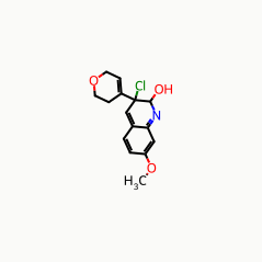 COc1ccc2c(c1)=NC(O)C(Cl)(C1=CCOCC1)C=2